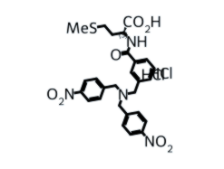 CSCC[C@H](NC(=O)c1cccc(CN(Cc2ccc([N+](=O)[O-])cc2)Cc2ccc([N+](=O)[O-])cc2)c1)C(=O)O.Cl.Cl